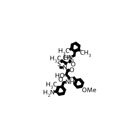 COc1ccc(C[C@H](NC(=O)c2cccc(N)c2C)[C@H](O)C(=O)N2CSC(C)(C)[C@H]2C(=O)NCc2c(C)cccc2C)cc1